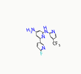 Nc1cc(Nc2cc(C(F)(F)F)ccn2)nc(-c2ccc(F)nc2)c1